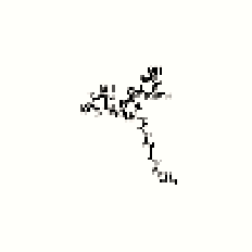 CCCCCCCCSc1nc(Oc2cc(O)cc(O)c2)nc(Oc2cc(O)cc(O)c2)n1